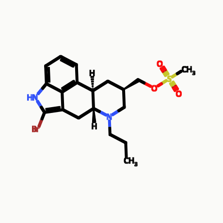 CCCN1C[C@H](COS(C)(=O)=O)C[C@@H]2c3cccc4[nH]c(Br)c(c34)C[C@H]21